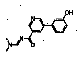 CN(C)C=NC(=O)c1cncc(-c2cccc(O)c2)c1